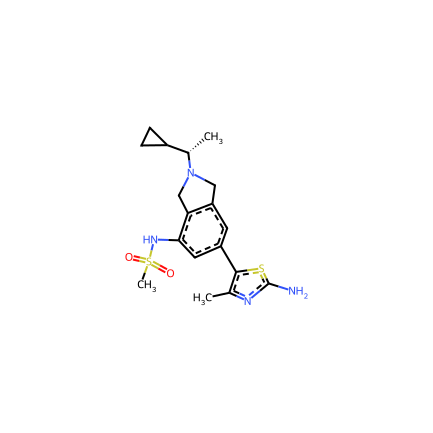 Cc1nc(N)sc1-c1cc2c(c(NS(C)(=O)=O)c1)CN([C@@H](C)C1CC1)C2